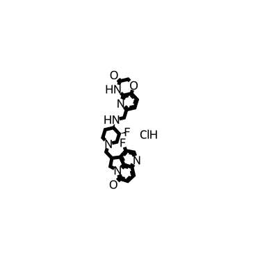 Cl.O=C1COc2ccc(CN[C@H]3CCN(CC4Cn5c(=O)ccc6ncc(F)c4c65)C[C@H]3F)nc2N1